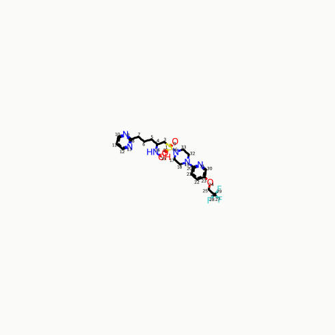 O=S(=O)(CC(CCCc1ncccn1)NO)N1CCN(c2ccc(OCC(F)(F)F)cn2)CC1